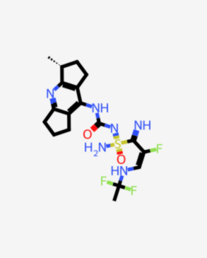 C[C@@H]1CCc2c1nc1c(c2NC(=O)N=S(N)(=O)C(=N)/C(F)=C\NC(C)(F)F)CCC1